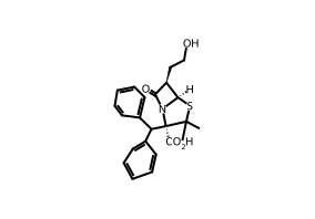 CC1(C)S[C@@H]2[C@H](CCO)C(=O)N2[C@]1(C(=O)O)C(c1ccccc1)c1ccccc1